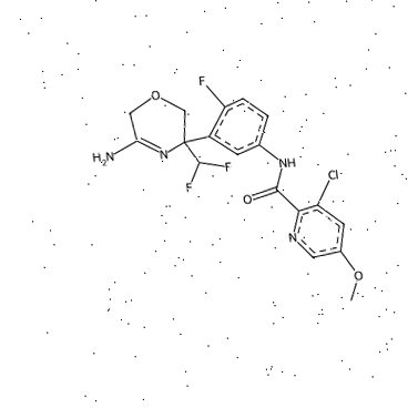 COc1cnc(C(=O)Nc2ccc(F)c(C3(C(F)F)COCC(N)=N3)c2)c(Cl)c1